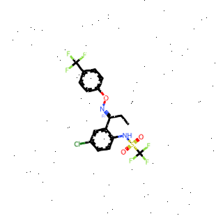 CC/C(=N\Oc1ccc(C(F)(F)F)cc1)c1cc(Cl)ccc1NS(=O)(=O)C(F)(F)F